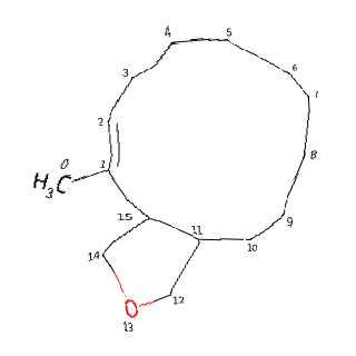 CC1=CCCCCCCCCC2COCC12